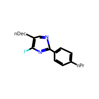 CCCCCCCCCCc1cnc(-c2ccc(CCC)cc2)nc1F